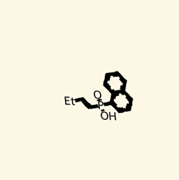 CCC=CP(=O)(O)c1cccc2ccccc12